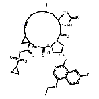 CCOc1cnc(O[C@@H]2C[C@H]3C(=O)NC4(C(=O)NS(=O)(=O)C5CC5)CC4/C=C\CC[C@@H](C)C[C@@H](C)[C@H](NC(=O)O)C(=O)N3C2)c2cc(F)ccc12